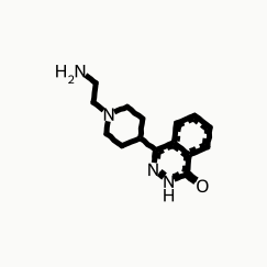 NCCN1CCC(c2n[nH]c(=O)c3ccccc23)CC1